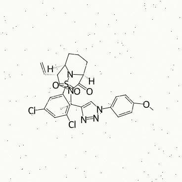 C=C[C@H]1CN([C@@H](C)c2cn(-c3ccc(OC)cc3)nn2)C(=O)[C@@H]2CCC[C@H]1N2S(=O)(=O)c1cc(Cl)cc(Cl)c1